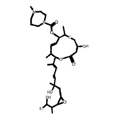 CCC(O)C(C)C1OC1CC(C)(O)/C=C/C=C(\C)C1OC(=O)CC(O)CCC(C)C(OC(=O)N2CCCN(C)CC2)/C=C/C1C